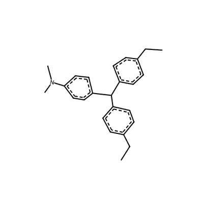 CCc1ccc(C(c2ccc(CC)cc2)c2ccc(N(C)C)cc2)cc1